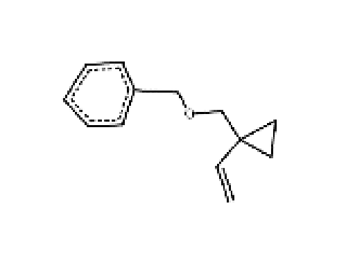 C=CC1(COCc2ccccc2)CC1